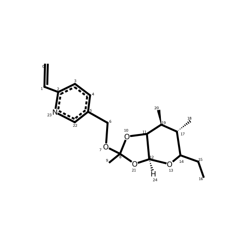 C=Cc1ccc(COC2(C)OC3[C@@H](OC(CC)[C@@H](C)[C@@H]3C)O2)cn1